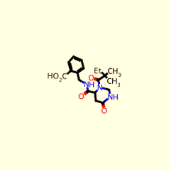 CCC(C)(C)C(=O)N1CNC(=O)CC1C(=O)NCc1ccccc1C(=O)O